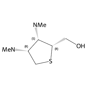 CN[C@H]1[C@@H](NC)CS[C@H]1CO